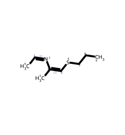 C/C=N\C(C)=C/SCCC